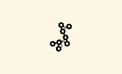 C1=CC(N2C3CCC=CC3C3C=CC(C4=CC5C(C=C4)C4CCCCC4N5C4=C5SC6CCC=CC6C5C(C5=CCCCC5)C=C4)CC32)CCC1